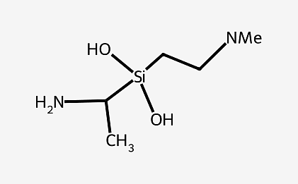 CNCC[Si](O)(O)C(C)N